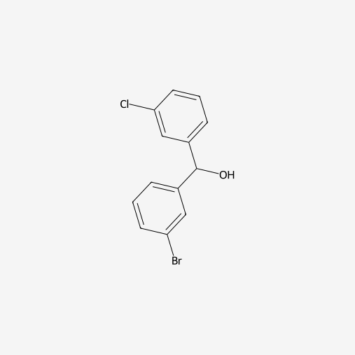 OC(c1cccc(Cl)c1)c1cccc(Br)c1